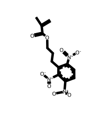 C=C(C)C(=O)OCCCc1c([N+](=O)[O-])ccc([N+](=O)[O-])c1[N+](=O)[O-]